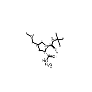 COCC1C[C@@H](C(=O)O)N(C(=O)OC(C)(C)C)C1.O